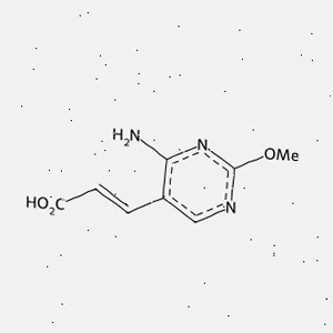 COc1ncc(/C=C/C(=O)O)c(N)n1